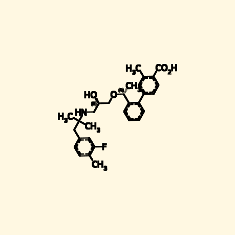 Cc1ccc(CC(C)(C)NC[C@@H](O)CO[C@H](C)c2ccccc2-c2ccc(C(=O)O)c(C)c2)cc1F